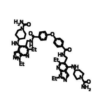 CCc1nc2c(cnn2CC)c(NC2CCN(C(N)=O)CC2)c1CNC(=O)c1ccc(Oc2ccc(C(=O)NCc3c(CC)nc4c(cnn4CC)c3NC3CCN(C(N)=O)CC3)cc2)cc1